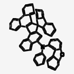 c1ccc(N(c2cc3c(c4ccccc24)-c2c(c4ccccc4c4ccccc24)C32c3ccccc3-c3ccccc32)c2cccc3oc4ccccc4c23)cc1